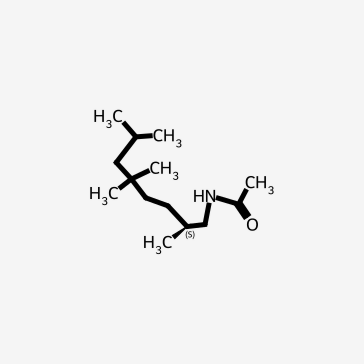 CC(=O)NC[C@@H](C)CCC(C)(C)CC(C)C